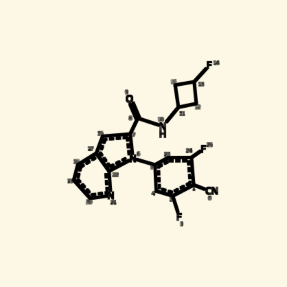 N#Cc1c(F)cc(-n2c(C(=O)NC3CC(F)C3)cc3cccnc32)cc1F